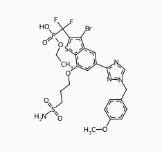 CCOP(=O)(O)C(F)(F)c1sc2c(OCCCS(N)(=O)=O)cc(-c3ncn(Cc4ccc(OC)cc4)n3)cc2c1Br